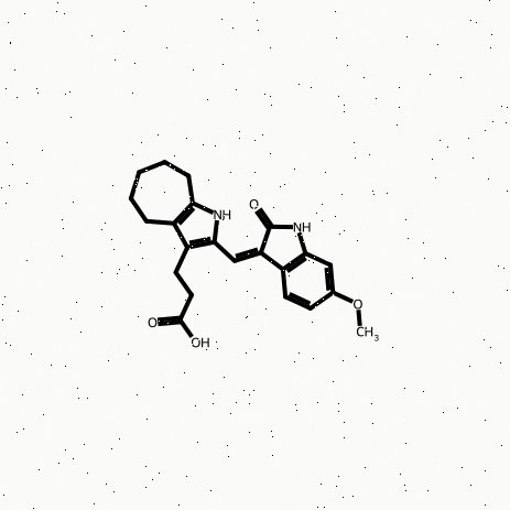 COc1ccc2c(c1)NC(=O)/C2=C\c1[nH]c2c(c1CCC(=O)O)CCCCC2